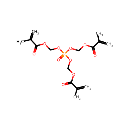 C=C(C)C(=O)OCOP(=O)(OCOC(=O)C(=C)C)OCOC(=O)C(=C)C